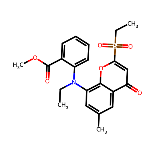 CCN(c1ccccc1C(=O)OC)c1cc(C)cc2c(=O)cc(S(=O)(=O)CC)oc12